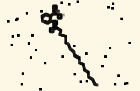 CCCCCCCCC=CCCCCCCCC(=O)Oc1ccccc1[N+](=O)[O-]